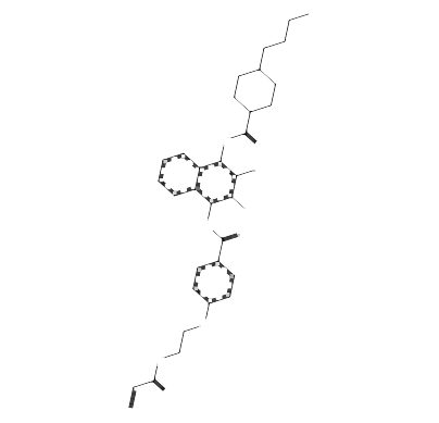 C=CC(=O)OCCOc1ccc(C(=O)Oc2c(F)c(F)c(OC(=O)C3CCC(CCCC)CC3)c3ccccc23)cc1